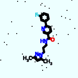 Cc1cc(C)n(CCCNC(=O)c2ccc(-c3cccc(F)c3)nc2)n1